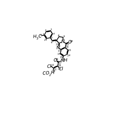 Cc1cccc(C=C2CCn3c2nc2cc(NC(=O)C(Cl)=C(Cl)C(=O)O)ccc2c3=O)c1